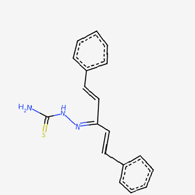 NC(=S)NN=C(C=Cc1ccccc1)C=Cc1ccccc1